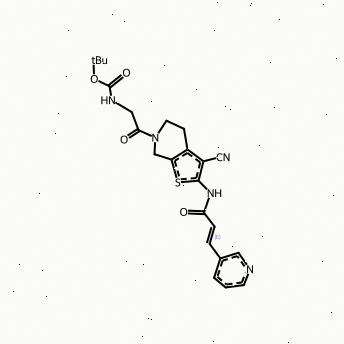 CC(C)(C)OC(=O)NCC(=O)N1CCc2c(sc(NC(=O)/C=C/c3cccnc3)c2C#N)C1